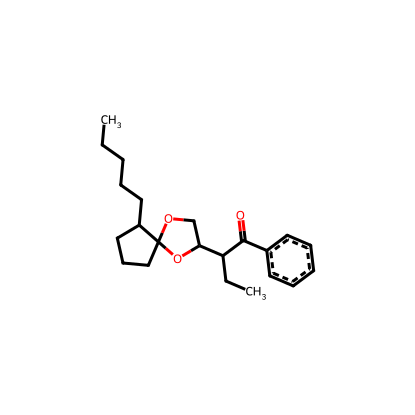 CCCCCC1CCCC12OCC(C(CC)C(=O)c1ccccc1)O2